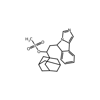 CS(=O)(=O)OC(CC1c2ccccc2-c2cncn21)C12CC3CC(CC(C3)C1)C2